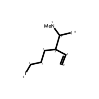 C=CC(CCCI)C(I)NC